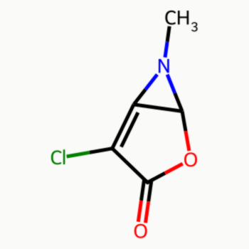 CN1C2=C(Cl)C(=O)OC21